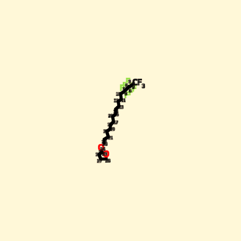 FC(F)(F)C(F)(F)C(F)(F)C(F)(F)CCCCCCCCCCCCCCOC1CCCO1